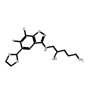 CCCCC(O)CNc1noc2c(F)c(F)c(C3OCCO3)cc12